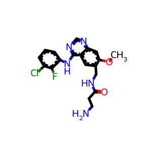 COc1cc2ncnc(Nc3cccc(Cl)c3F)c2cc1CNC(=O)CCN